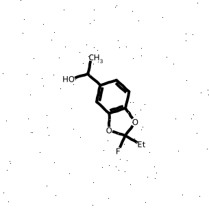 CCC1(F)Oc2ccc(C(C)O)cc2O1